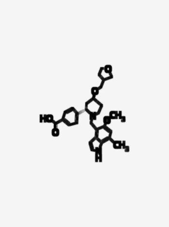 COc1cc(C)c2[nH]ccc2c1CN1CC[C@H](OCC2CCOC2)C[C@H]1c1ccc(C(=O)O)cc1